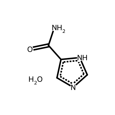 NC(=O)c1cnc[nH]1.O